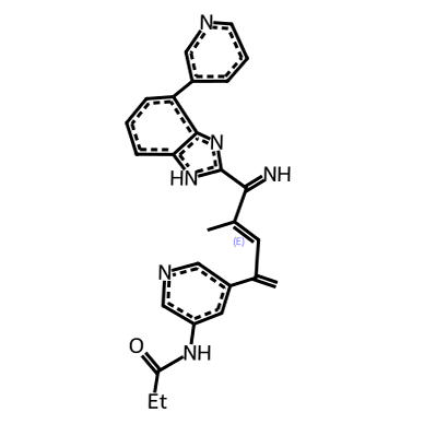 C=C(/C=C(\C)C(=N)c1nc2c(-c3cccnc3)cccc2[nH]1)c1cncc(NC(=O)CC)c1